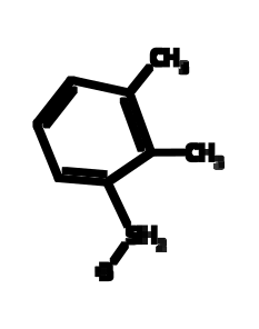 [B][SiH2]c1cccc(C)c1C